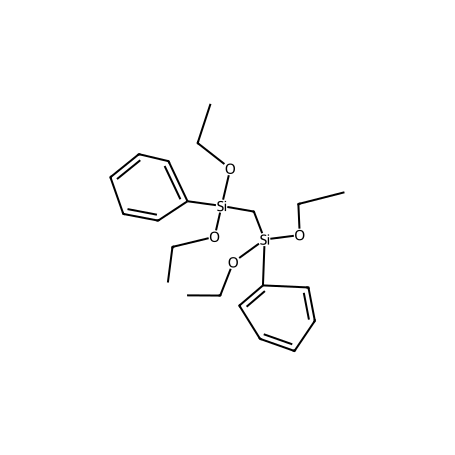 CCO[Si](C[Si](OCC)(OCC)c1ccccc1)(OCC)c1ccccc1